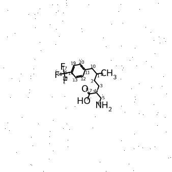 CC(CCC(CN)C(=O)O)Cc1ccc(C(F)(F)F)cc1